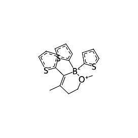 CC1=C(c2cccs2)[B-](c2cccs2)(c2cccs2)[O+](C)CC1